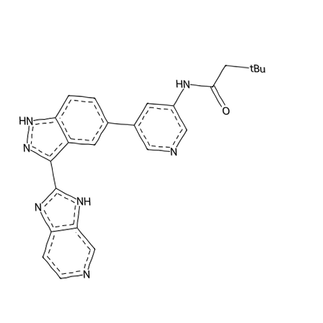 CC(C)(C)CC(=O)Nc1cncc(-c2ccc3[nH]nc(-c4nc5ccncc5[nH]4)c3c2)c1